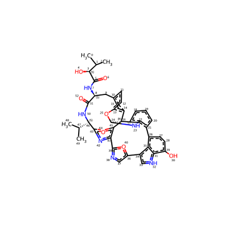 CC(C)[C@H](O)C(=O)N[C@H]1Cc2ccc3c(c2)[C@]24c5cccc(c5NC2O3)-c2ccc(O)c3[nH]cc(c23)-c2cnc(o2)-c2nc(oc24)[C@H](C(C)C)NC1=O